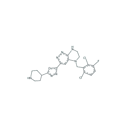 Fc1ccc(Cl)c(CN2CCNc3nnc(-c4nnc(C5CCNCC5)o4)cc32)c1Cl